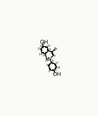 Oc1ccc(N2C=C(I)c3cc(O)ccc3C2)cc1